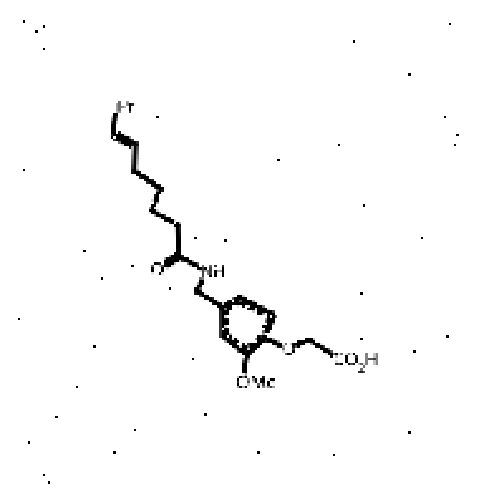 COc1cc(CNC(=O)CCCCC=CC(C)C)ccc1OCC(=O)O